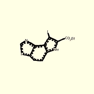 CCOC(=O)c1[nH]c2ccc3scnc3c2c1I